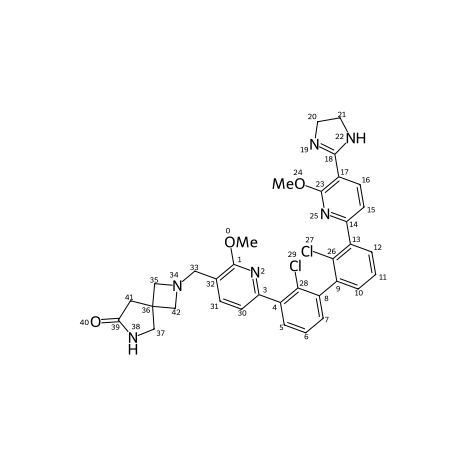 COc1nc(-c2cccc(-c3cccc(-c4ccc(C5=NCCN5)c(OC)n4)c3Cl)c2Cl)ccc1CN1CC2(CNC(=O)C2)C1